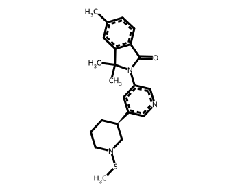 CSN1CCC[C@@H](c2cncc(N3C(=O)c4ccc(C)cc4C3(C)C)c2)C1